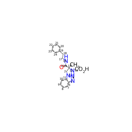 CC(Cn1nnc2ccccc21)(NC(=O)O)C(=O)NCCc1ccccc1